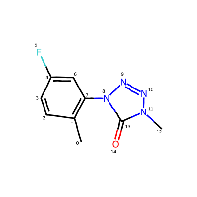 Cc1ccc(F)cc1-n1nnn(C)c1=O